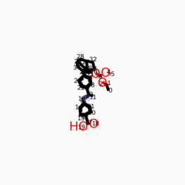 CCOC(OC)Oc1cc(/C(C)=C/c2ccc(C(=O)O)cc2)ccc1C12CC3CC(CC(C3)C1)C2